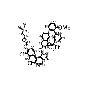 CCOC(=O)[C@@H](Cc1ccccc1OCc1ccnc(-c2ccccc2OC)n1)Oc1nsc2cnc(Cl)c(-c3ccc(OCOCC[Si](C)(C)C)c(Cl)c3C)c12